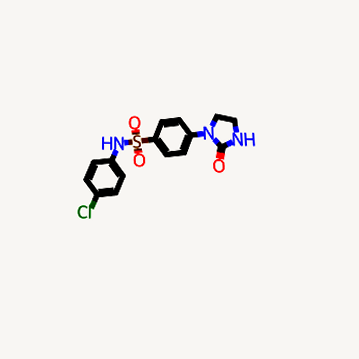 O=C1NCCN1c1ccc(S(=O)(=O)Nc2ccc(Cl)cc2)cc1